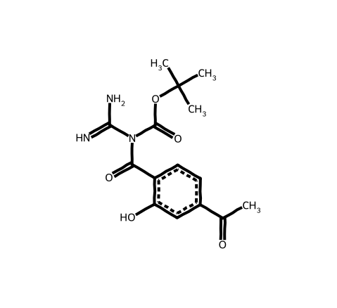 CC(=O)c1ccc(C(=O)N(C(=N)N)C(=O)OC(C)(C)C)c(O)c1